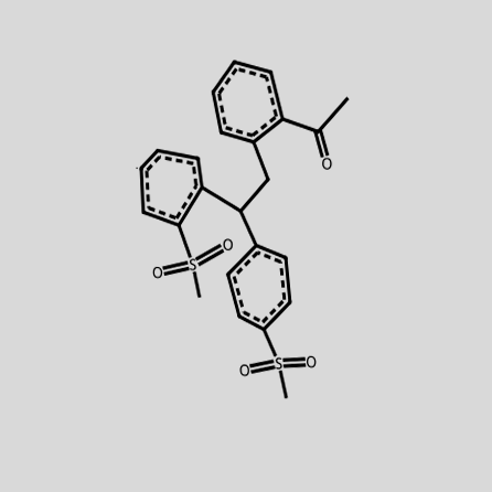 CC(=O)c1ccccc1CC(c1ccc(S(C)(=O)=O)cc1)c1cc[c]cc1S(C)(=O)=O